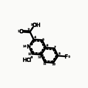 Cl.O=C(O)c1cc2cc(F)ccc2cn1